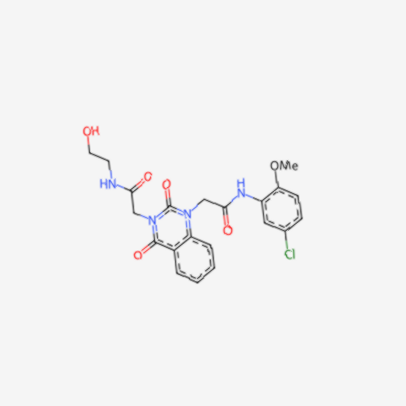 COc1ccc(Cl)cc1NC(=O)Cn1c(=O)n(CC(=O)NCCO)c(=O)c2ccccc21